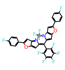 Fc1ccc(-c2cc3c(o2)=CC2=C(c4c(F)c(F)c(F)c(F)c4F)c4cc5oc(-c6ccc(F)cc6)cc5n4[B-](F)(F)[N+]=32)cc1